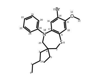 CCCCC1(CC)CSc2cc(OC)c(Br)cc2N(c2ccccc2)C1